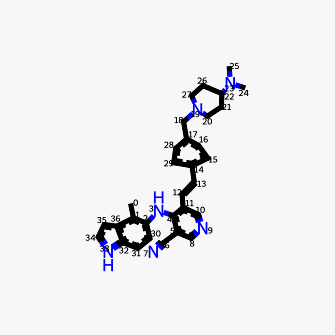 Cc1c(Nc2c(C#N)cncc2C=Cc2ccc(CN3CCC(N(C)C)CC3)cc2)ccc2[nH]ccc12